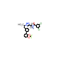 CC(C)(NC(=O)c1cc(Cl)cc(Cl)c1)c1cn(C(Cc2cccc(-c3cccc4c3OC(F)(F)O4)c2)C(=O)O)nn1